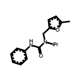 Cc1ccc(CN(C(=O)Nc2ccccc2)C(C)C)o1